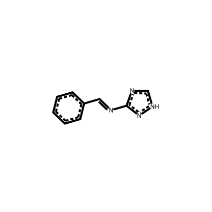 C(=Nc1nc[nH]n1)c1ccccc1